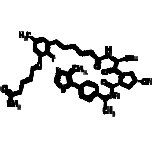 Cc1cc(CCCCCC(=O)N[C@H](C(=O)N2C[C@H](O)C[C@H]2C(=O)N[C@@H](C)c2ccc(-c3scnc3C)cc2)C(C)(C)C)c(F)c(OCCCCC(N)=O)c1